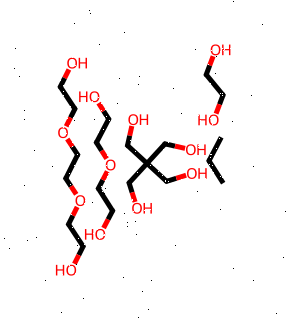 CCC.OCC(CO)(CO)CO.OCCO.OCCOCCO.OCCOCCOCCO